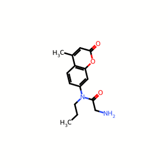 CCCN(C(=O)CN)c1ccc2c(C)cc(=O)oc2c1